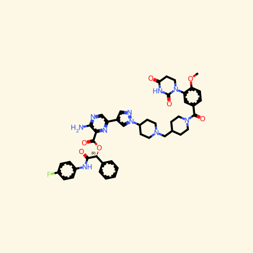 COc1ccc(C(=O)N2CCC(CN3CCC(n4cc(-c5cnc(N)c(C(=O)O[C@@H](C(=O)Nc6ccc(F)cc6)c6ccccc6)n5)cn4)CC3)CC2)cc1N1CCC(=O)NC1=O